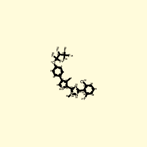 Cc1c(-c2ccc(OC(F)(F)C(F)C(F)(F)F)cc2)csc1-c1nc(-c2c(F)cccc2Cl)nn1C